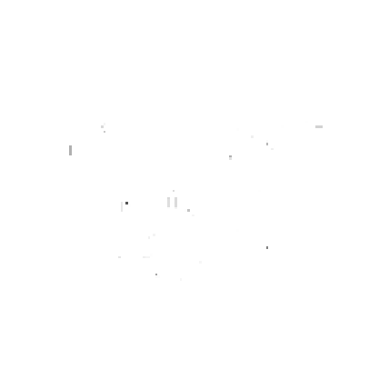 CC(C)OC(=O)N1CCC(CC#N)(n2nc(Nc3ccnc(F)c3)c3c(=O)[nH]ccc32)CC1